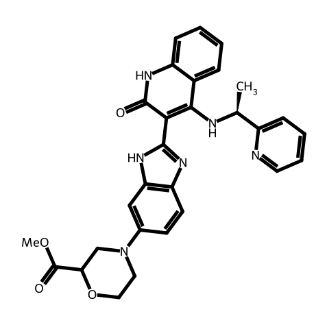 COC(=O)C1CN(c2ccc3nc(-c4c(N[C@@H](C)c5ccccn5)c5ccccc5[nH]c4=O)[nH]c3c2)CCO1